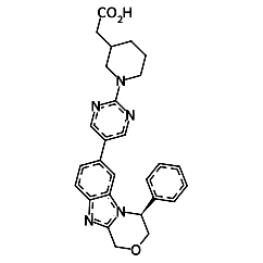 O=C(O)CC1CCCN(c2ncc(-c3ccc4nc5n(c4c3)[C@@H](c3ccccc3)COC5)cn2)C1